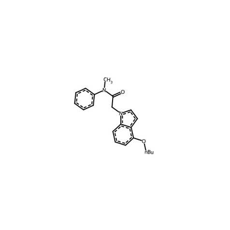 CCCCOc1cccc2c1ccn2CC(=O)N(C)c1ccccc1